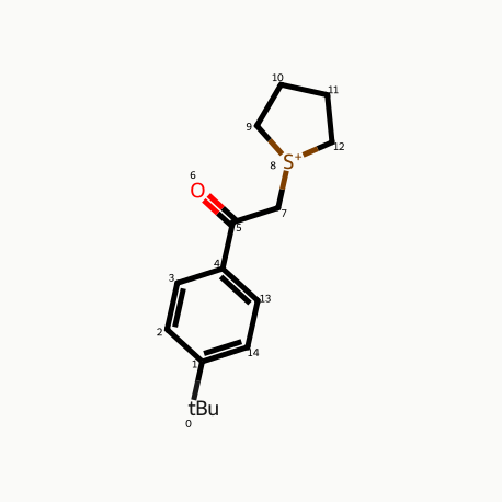 CC(C)(C)c1ccc(C(=O)C[S+]2CCCC2)cc1